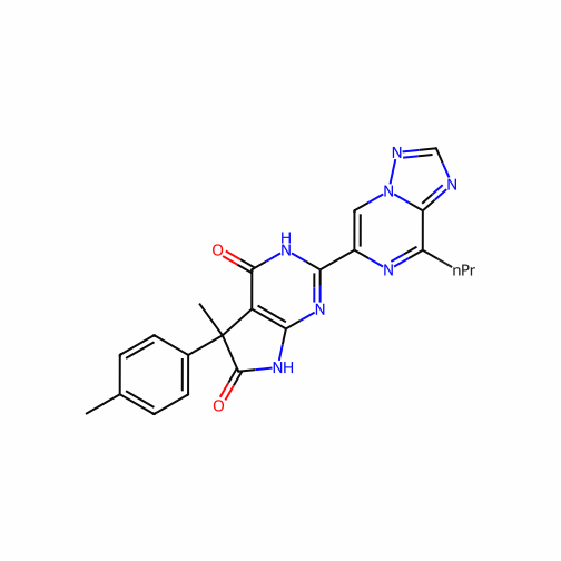 CCCc1nc(-c2nc3c(c(=O)[nH]2)C(C)(c2ccc(C)cc2)C(=O)N3)cn2ncnc12